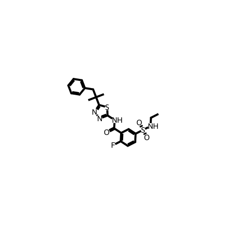 CCNS(=O)(=O)c1ccc(F)c(C(=O)Nc2nnc(C(C)(C)Cc3ccccc3)s2)c1